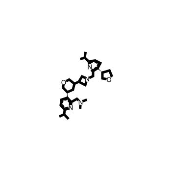 CC(C)c1ccc([C@@H]2CCOC2)c(CN2CC(C3COC[C@@H](c4ccc(C(C)C)nc4CN(C)C)C3)C2)n1